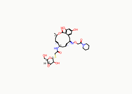 C[C@@H]1C/C=C/[C@H](NC(=O)CS[C@H]2O[C@H](CO)[C@@H]3OC3C2O)C/C=C/C(=N/OCC(=O)N2CCCCC2)Cc2cc(O)cc(O)c2C(=O)O1